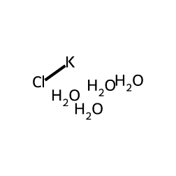 O.O.O.O.[Cl][K]